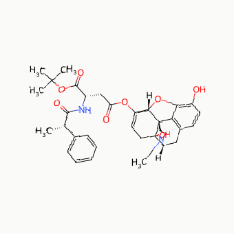 C[C@H](C(=O)N[C@@H](CC(=O)OC1=CC[C@@]2(O)[C@H]3Cc4ccc(O)c5c4[C@@]2(CCN3C)[C@H]1O5)C(=O)OC(C)(C)C)c1ccccc1